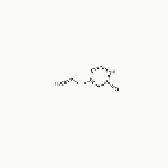 C=CCc1cc[nH]c(=O)c1